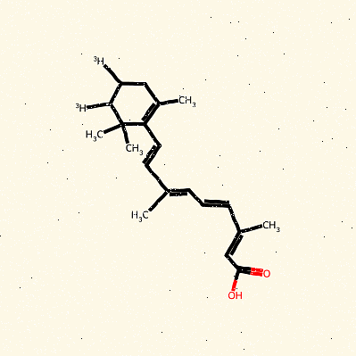 [3H]C1CC(C)=C(C=CC(C)=CC=CC(C)=CC(=O)O)C(C)(C)C1[3H]